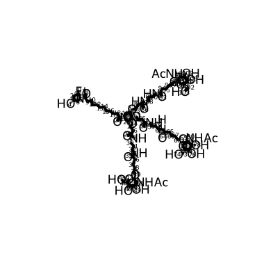 CC[C@@H]1C[C@@H](O)CN1C(=O)CCCCCCCCCCC(=O)N1C[C@H](OCCC(=O)NCCCNC(=O)CCCCO[C@@H]2O[C@H](CO)[C@H](O)[C@H](O)[C@H]2NC(C)=O)[C@@H](OCCC(=O)NCCCNC(=O)CCCCO[C@@H]2O[C@H](CO)[C@H](O)[C@H](O)[C@H]2NC(C)=O)[C@H](OCCC(=O)NCCCNC(=O)CCCCO[C@@H]2O[C@H](CO)[C@H](O)[C@H](O)[C@H]2NC(C)=O)C1